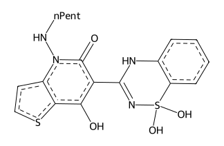 CCCCCNn1c(=O)c(C2=NS(O)(O)c3ccccc3N2)c(O)c2sccc21